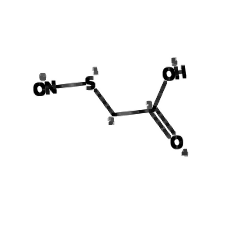 O=NSCC(=O)O